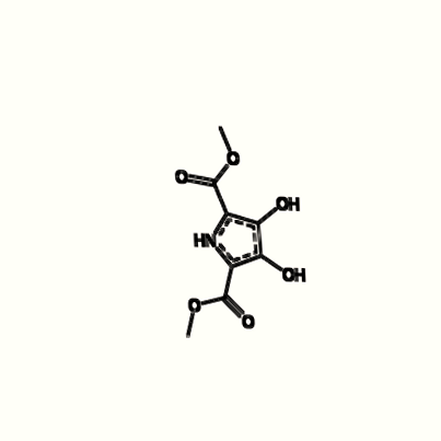 COC(=O)c1[nH]c(C(=O)OC)c(O)c1O